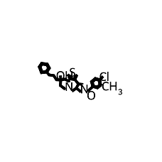 Cc1cc(C(=O)N2CC(CN3CCC(O)(CCCc4ccccc4)CC3)C(c3ccsc3)C2)ccc1Cl